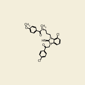 COc1ccc(C(=O)N(C)CCCn2c(=N)n(CC(=O)c3ccc(Cl)cc3)c3cccc(Cl)c32)cc1